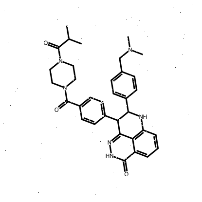 CC(C)C(=O)N1CCN(C(=O)c2ccc(C3c4n[nH]c(=O)c5cccc(c45)NC3c3ccc(CN(C)C)cc3)cc2)CC1